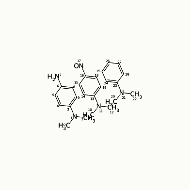 CN(C)c1ccc(N)cc1.CN(C)c1ccc(N=O)cc1.CN(C)c1ccccc1